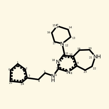 c1ccc(CCNc2nc3c(c(N4CCSCC4)n2)CCNCC3)cc1